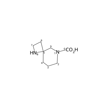 O=C(O)N1CCCC2(CCN2)C1